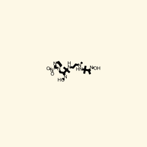 C/C(=N\O)C(C)(C)NN(C)CCNC(C)(C)/C(Cn1ccnc1[N+](=O)[O-])=N/O